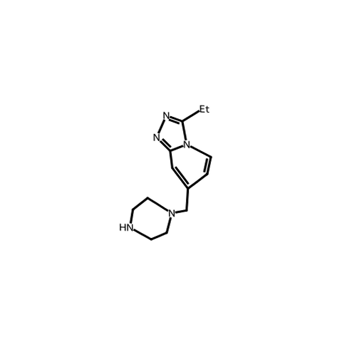 CCc1nnc2cc(CN3CCNCC3)ccn12